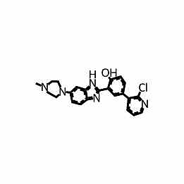 CN1CCN(c2ccc3nc(-c4cc(-c5cccnc5Cl)ccc4O)[nH]c3c2)CC1